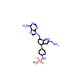 CS(=O)(=O)Nc1ccc(-c2ccc(Cn3cnc4c(N)ncnc43)c3[nH]c(CN)cc23)cc1